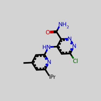 Cc1cc(Nc2cc(Cl)nnc2C(N)=O)nc(C(C)C)c1